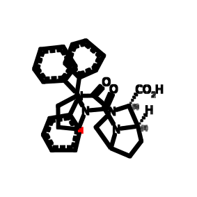 O=C(O)[C@@H]1[C@H]2CCC(CN1C(=O)N(c1ccccc1)c1ccccc1)N2C(=O)N1CCCC1c1ccccc1